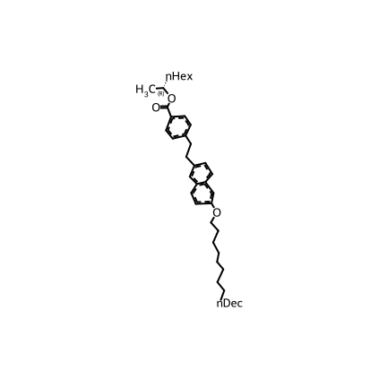 CCCCCCCCCCCCCCCCCCOc1ccc2cc(CCc3ccc(C(=O)O[C@H](C)CCCCCC)cc3)ccc2c1